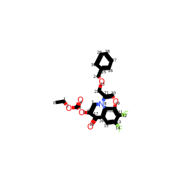 CCOC(=O)Oc1cn2c3c(c(F)c(F)cc3c1=O)OC=C2COCc1ccccc1